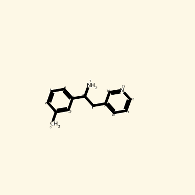 Cc1cccc(C(N)Cc2cccnc2)c1